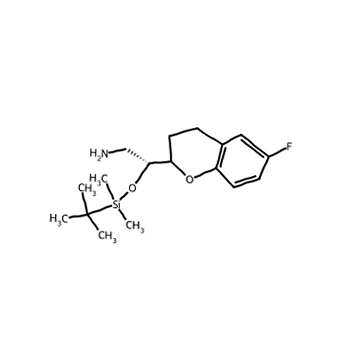 CC(C)(C)[Si](C)(C)O[C@H](CN)C1CCc2cc(F)ccc2O1